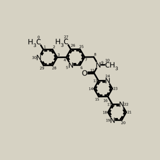 Cc1cc(-c2ncc(CN(C)C(=O)c3ccc(-c4cnccn4)cn3)cc2C)ccn1